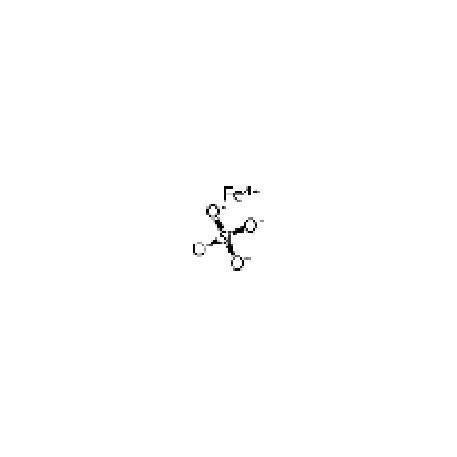 [Fe+4].[O-][Si]([O-])([O-])[O-]